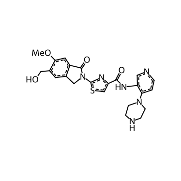 COc1cc2c(cc1CO)CN(c1nc(C(=O)Nc3cnccc3N3CCNCC3)cs1)C2=O